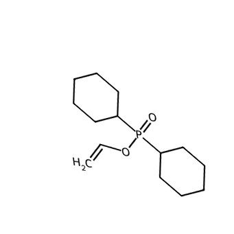 C=COP(=O)(C1CCCCC1)C1CCCCC1